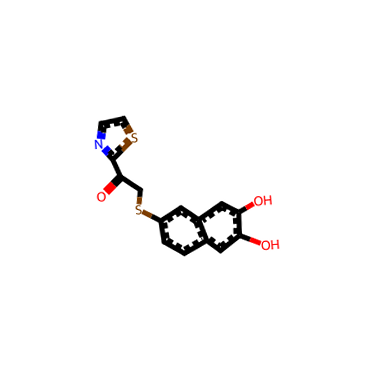 O=C(CSc1ccc2cc(O)c(O)cc2c1)c1nccs1